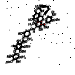 CC#C/C=C\C#C[C@H](O[C@@H]1O[C@H](C)[C@@H](NO[C@H]2C[C@H](O)[C@H](SC(=O)c3c(C)c(I)c(O[C@@H]4O[C@@H](C)[C@H](O)[C@@H](OC)[C@H]4O)c(OC)c3OC)[C@@H](C)O2)[C@H](O)[C@H]1O[C@H]1C[C@H](OC)[C@@H](NCC)CO1)C1=C(NC(=O)OC)C(=O)C[C@](C)(O)/C1=C/CSSC(C)(C)C